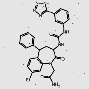 CCc1ccc2c(c1)N(CC(N)=O)C(=O)C(NC(=O)Nc1cccc(-c3nnn[nH]3)c1)CC2c1ccccc1